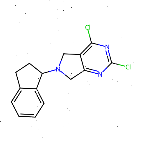 Clc1nc(Cl)c2c(n1)CN(C1CCc3ccccc31)C2